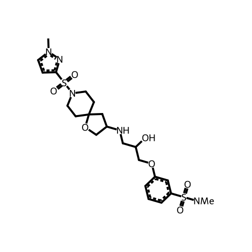 CNS(=O)(=O)c1cccc(OCC(O)CNC2COC3(CCN(S(=O)(=O)c4ccn(C)n4)CC3)C2)c1